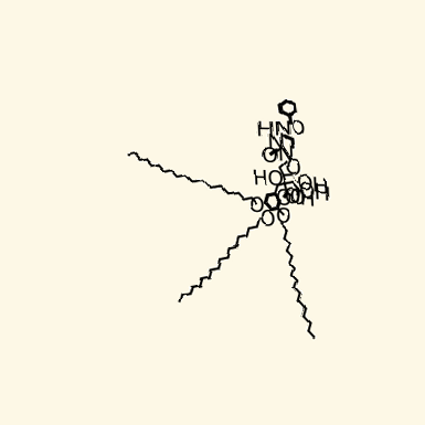 CCCCCCCCCCCCCCCCCCOc1cc(CC(CC(=O)O)(C(=O)O)[C@]2(O)C[C@H](n3ccc(NC(=O)c4ccccc4)nc3=O)O[C@@H]2CO)cc(OCCCCCCCCCCCCCCCCCC)c1OCCCCCCCCCCCCCCCCCC